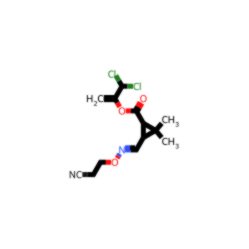 C=C(OC(=O)C1C(C=NOCCC#N)C1(C)C)C(Cl)Cl